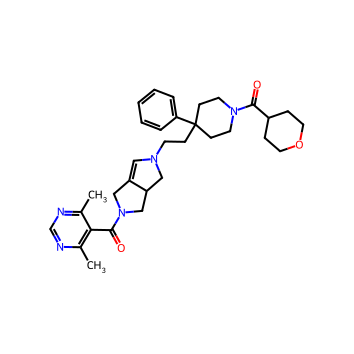 Cc1ncnc(C)c1C(=O)N1CC2=CN(CCC3(c4ccccc4)CCN(C(=O)C4CCOCC4)CC3)CC2C1